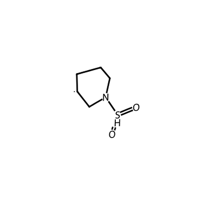 O=[SH](=O)N1C[CH]CCC1